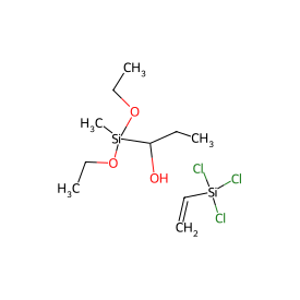 C=C[Si](Cl)(Cl)Cl.CCO[Si](C)(OCC)C(O)CC